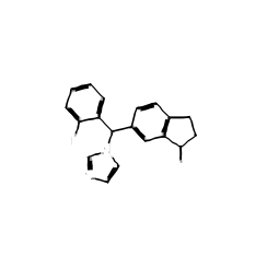 CC1CCc2ccc(C(c3ccccc3F)n3ccnc3)cc21